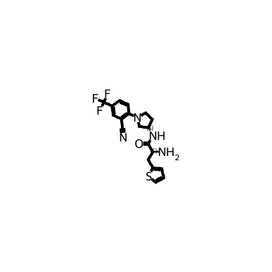 N#Cc1cc(C(F)(F)F)ccc1N1CC[C@H](NC(=O)[C@@H](N)Cc2cccs2)C1